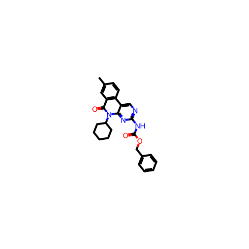 Cc1ccc2c(c1)c(=O)n(C1CCCCC1)c1nc(NC(=O)OCc3ccccc3)ncc21